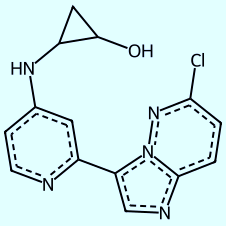 OC1CC1Nc1ccnc(-c2cnc3ccc(Cl)nn23)c1